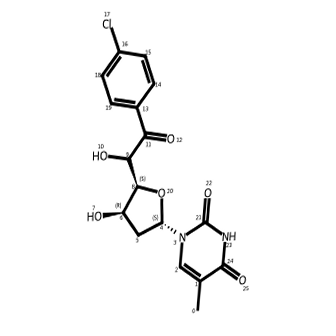 Cc1cn([C@@H]2C[C@@H](O)[C@@H](C(O)C(=O)c3ccc(Cl)cc3)O2)c(=O)[nH]c1=O